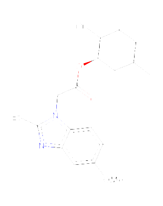 CCc1nc2cc(OC)ccc2n1CC(=O)O[C@@H]1CC(C)CCC1C(C)C